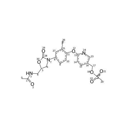 CC(=O)NCC1CN(c2ccc(Oc3ccc(COS(C)(=O)=O)cn3)c(F)c2)C(=O)O1